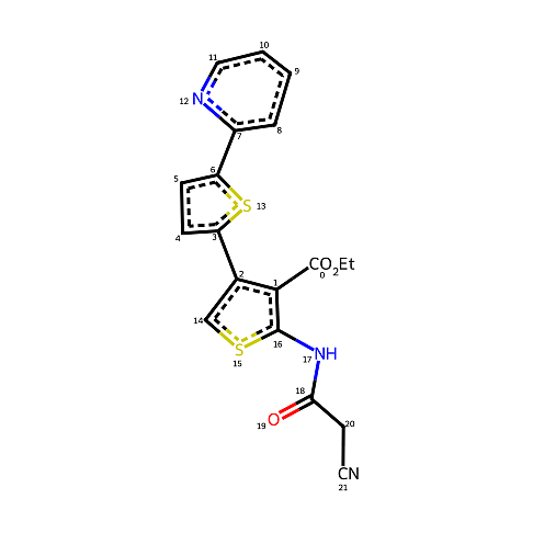 CCOC(=O)c1c(-c2ccc(-c3ccccn3)s2)csc1NC(=O)CC#N